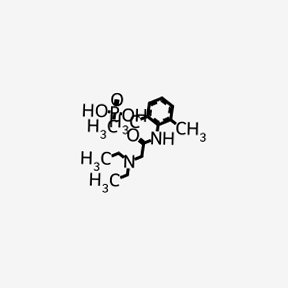 CCN(CC)CC(=O)Nc1c(C)cccc1C.CP(=O)(O)O